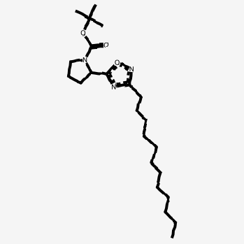 CCCCCCCCCCCCc1noc(C2CCCN2C(=O)OC(C)(C)C)n1